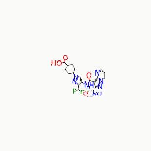 O=C(Nc1cn(C2CCC(C(=O)O)CC2)nc1C(F)F)c1c(C2COCCN2)nn2cccnc12